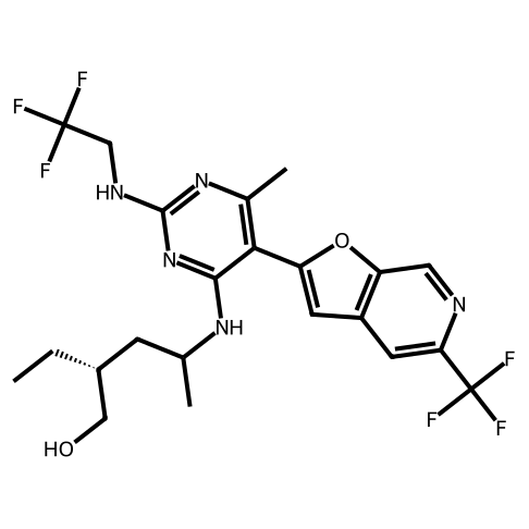 CC[C@@H](CO)CC(C)Nc1nc(NCC(F)(F)F)nc(C)c1-c1cc2cc(C(F)(F)F)ncc2o1